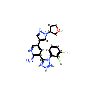 Nc1ncc(-c2cnn(C3CCOC3)c2)cc1-c1nnnn1-c1cccc(F)c1F